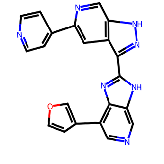 c1cc(-c2cc3c(-c4nc5c(-c6ccoc6)cncc5[nH]4)n[nH]c3cn2)ccn1